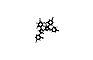 Cc1ccc(-c2sc(-c3sc(-c4ccc(C)cc4C)cc3-c3ccc(C)cc3C)cc2-c2ccc(C)cc2C)cc1